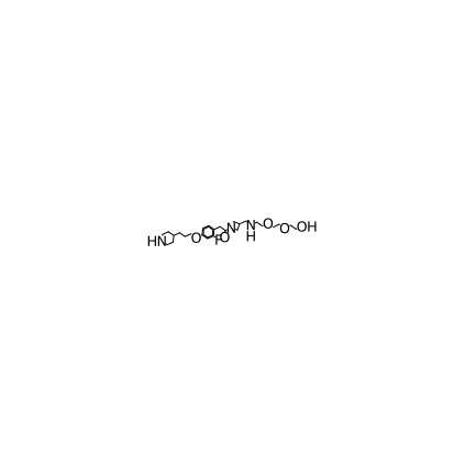 O=C(Cc1ccc(OCCCC2CCNCC2)cc1F)N1CC(CNCCOCCOCCO)C1